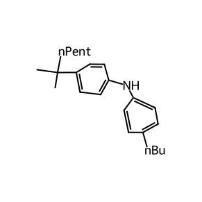 CCCCCC(C)(C)c1ccc(Nc2ccc(CCCC)cc2)cc1